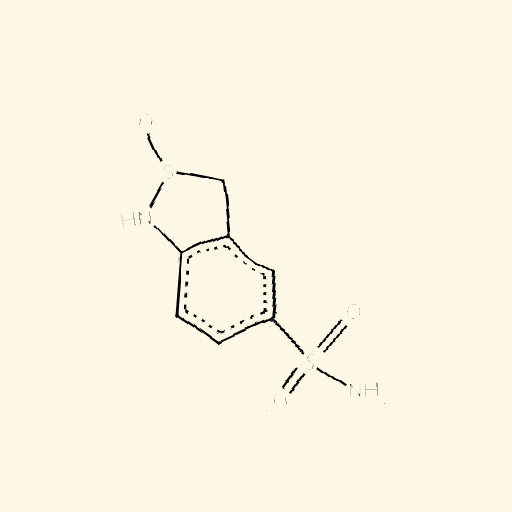 NS(=O)(=O)c1ccc2c(c1)C[S+]([O-])N2